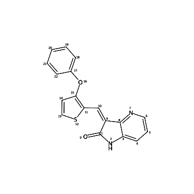 O=C1Nc2cccnc2C1=Cc1sccc1Oc1ccccc1